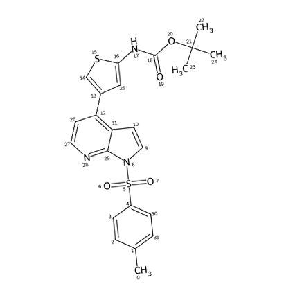 Cc1ccc(S(=O)(=O)n2ccc3c(-c4csc(NC(=O)OC(C)(C)C)c4)ccnc32)cc1